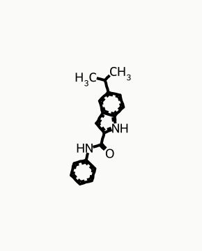 CC(C)c1ccc2[nH]c(C(=O)Nc3ccccc3)cc2c1